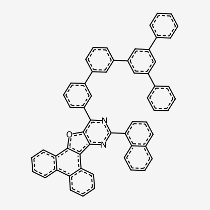 c1ccc(-c2cc(-c3ccccc3)cc(-c3cccc(-c4cccc(-c5nc(-c6cccc7ccccc67)nc6c5oc5c7ccccc7c7ccccc7c65)c4)c3)c2)cc1